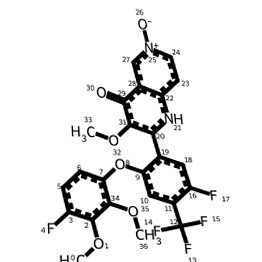 COc1c(F)ccc(Oc2cc(C(F)(F)F)c(F)cc2-c2[nH]c3cc[n+]([O-])cc3c(=O)c2OC)c1OC